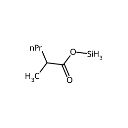 CCCC(C)C(=O)O[SiH3]